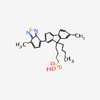 CCCCC1(CCCCS(=O)(=O)O)c2cc(C)ccc2-c2ccc(-c3ccc(C)c4nsnc34)cc21